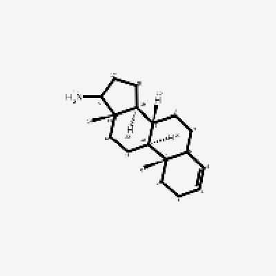 C[C@]12CCC=CC1CC[C@@H]1[C@@H]2CC[C@]2(C)C(N)CC[C@@H]12